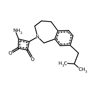 CC(C)Cc1ccc2c(c1)CN(c1c(N)c(=O)c1=O)CCC2